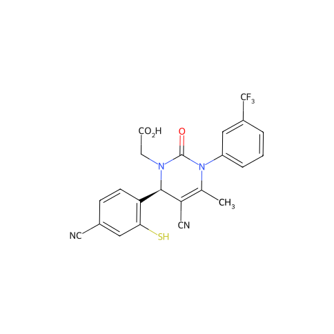 CC1=C(C#N)[C@@H](c2ccc(C#N)cc2S)N(CC(=O)O)C(=O)N1c1cccc(C(F)(F)F)c1